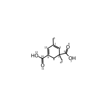 CC1=CC(I)(C(=O)O)CC(C(=O)O)=C1